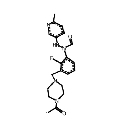 [CH2]C(=O)N1CCN(Cc2cccc(N(C=O)Nc3ccc(C)nc3)c2F)CC1